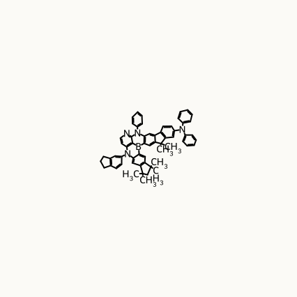 CC1(C)CC(C)(C)c2cc3c(cc21)B1c2cc4c(cc2N(c2ccccc2)c2nccc(c21)N3c1ccc2c(c1)CCC2)-c1ccc(N(c2ccccc2)c2ccccc2)cc1C4(C)C